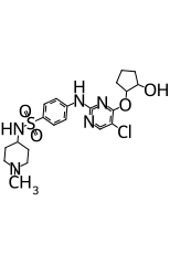 CN1CCC(NS(=O)(=O)c2ccc(Nc3ncc(Cl)c(OC4CCCC4O)n3)cc2)CC1